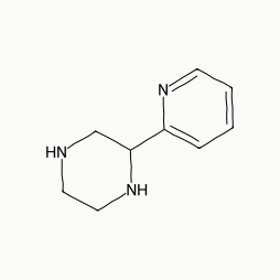 c1ccc(C2CNCCN2)nc1